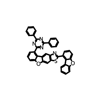 c1ccc(-c2nc(-c3ccccc3)nc(-c3cccc4oc5cc6sc(-c7cccc8oc9ccccc9c78)nc6cc5c34)n2)cc1